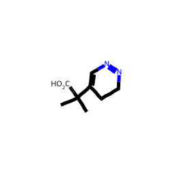 CC(C)(C(=O)O)C1=CN=NCC1